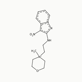 C[N+]1(CCNc2nn3ccccc3c2[N+](=O)[O-])CCOCC1